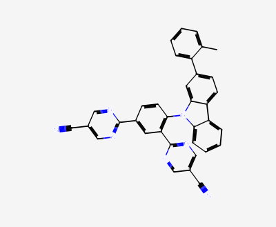 Cc1ccccc1-c1ccc2c3ccccc3n(-c3ccc(-c4ncc(C#N)cn4)cc3-c3ncc(C#N)cn3)c2c1